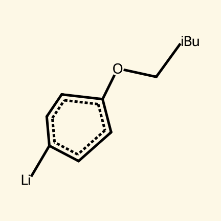 [Li][c]1ccc(OCC(C)CC)cc1